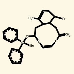 C=C1C/C=C\CC(O[Si](c2ccccc2)(c2ccccc2)C(C)(C)C)CC2C(C)=CCC(C(C)C)C2C1